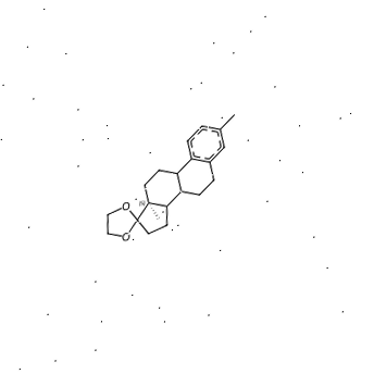 Cc1ccc2c(c1)CCC1C2CC[C@@]2(C)C1CCC21OCCO1